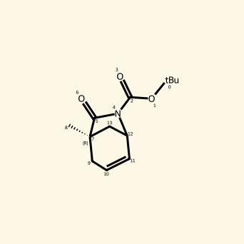 CC(C)(C)OC(=O)N1C(=O)[C@]2(C)CC=CC1C2